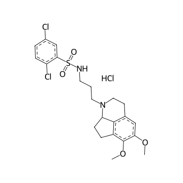 COc1cc2c3c(c1OC)CCC3N(CCCNS(=O)(=O)c1cc(Cl)ccc1Cl)CC2.Cl